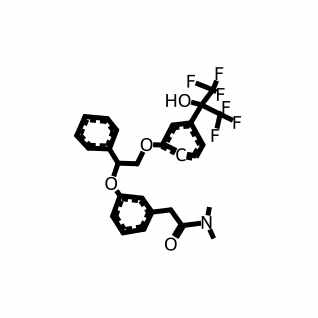 CN(C)C(=O)Cc1cccc(OC(COc2cccc(C(O)(C(F)(F)F)C(F)(F)F)c2)c2ccccc2)c1